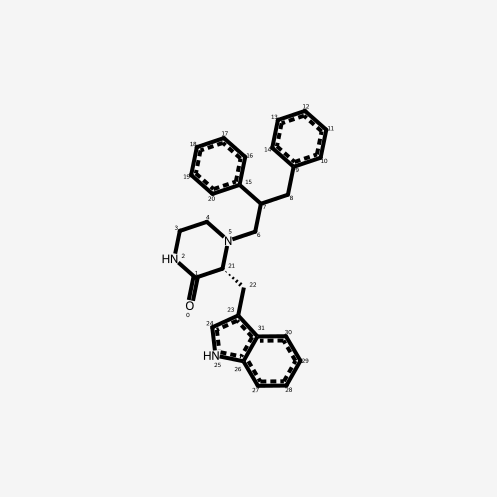 O=C1NCCN(CC(Cc2ccccc2)c2ccccc2)[C@@H]1Cc1c[nH]c2ccccc12